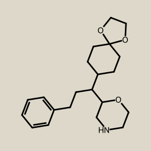 c1ccc(CCC(C2CCC3(CC2)OCCO3)C2CNCCO2)cc1